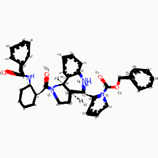 O=C(N[C@@H]1CCCC[C@@H]1C(=O)N1CC[C@@H]2[C@H](c3cccn3C(=O)OCc3ccccc3)Nc3ccccc3[C@@H]21)c1ccccc1